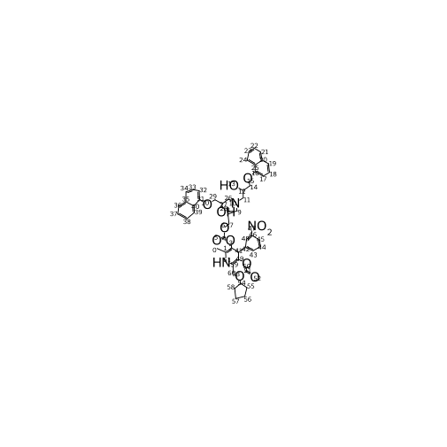 CC1=C(OC(=O)OCCCN(CC(O)COc2cccc3ccccc23)CC(O)COc2cccc3ccccc23)C(c2cccc([N+](=O)[O-])c2)C(OC(=O)OC2CCCC2)=C(C)N1